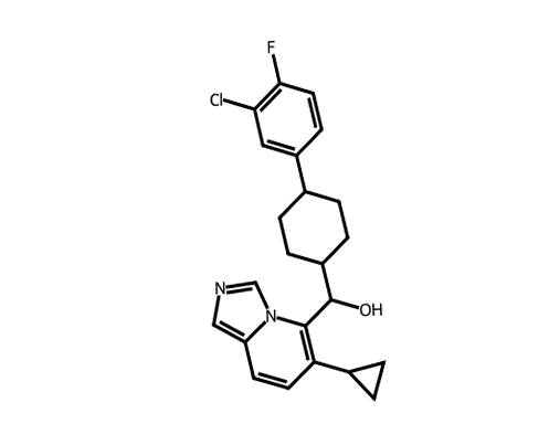 OC(c1c(C2CC2)ccc2cncn12)C1CCC(c2ccc(F)c(Cl)c2)CC1